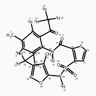 [2H]c1c(C)c([2H])c(C(=O)C([2H])([2H])[2H])c(N([2H])C(=O)c2sccc2S(=O)(=O)N([2H])c2onc(C([2H])([2H])[2H])c2C)c1C